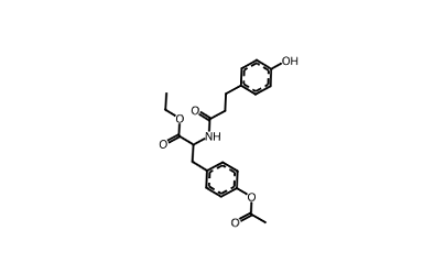 CCOC(=O)C(Cc1ccc(OC(C)=O)cc1)NC(=O)CCc1ccc(O)cc1